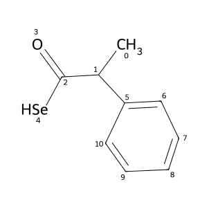 CC(C(=O)[SeH])c1ccccc1